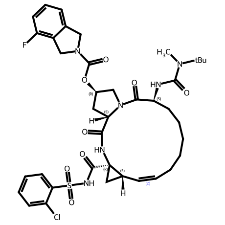 CN(C(=O)N[C@H]1CCCCC/C=C\[C@@H]2C[C@@]2(C(=O)NS(=O)(=O)c2ccccc2Cl)NC(=O)[C@@H]2C[C@@H](OC(=O)N3Cc4cccc(F)c4C3)CN2C1=O)C(C)(C)C